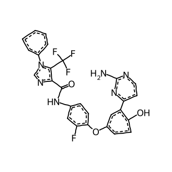 Nc1nccc(-c2cc(Oc3ccc(NC(=O)c4ncn(-c5ccccc5)c4C(F)(F)F)cc3F)ccc2O)n1